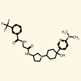 CN(C)c1ccc(C2(O)CCC(N3CCC(NC(=O)CNC(=O)c4cccc(C(F)(F)F)c4)C3)CC2)cn1